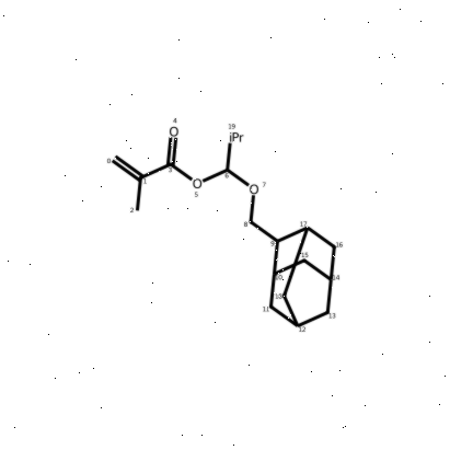 C=C(C)C(=O)OC(OCC1C2CC3CC(C2)CC1C3)C(C)C